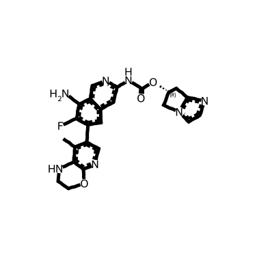 Cc1c(-c2cc3cc(NC(=O)O[C@@H]4Cc5nccn5C4)ncc3c(N)c2F)cnc2c1NCCO2